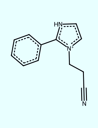 N#CCC[n+]1cc[nH]c1-c1ccccc1